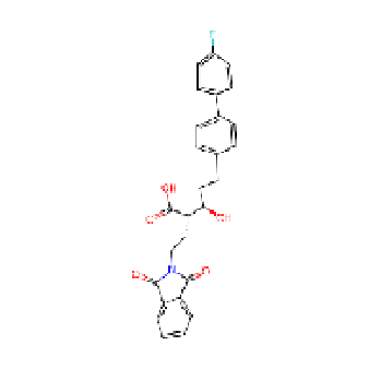 O=C(O)[C@@H](CCN1C(=O)c2ccccc2C1=O)[C@H](O)CCc1ccc(-c2ccc(F)cc2)cc1